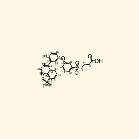 O=C(O)CCCS(=O)(=O)c1cccc(Oc2ccc(F)c(-c3ncnc4c(C(F)(F)F)cccc34)c2)c1